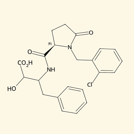 O=C(O)C(O)C(Cc1ccccc1)NC(=O)[C@H]1CCC(=O)N1Cc1ccccc1Cl